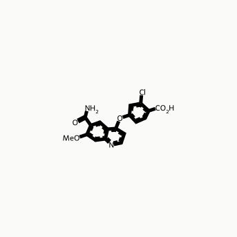 COc1cc2nccc(Oc3ccc(C(=O)O)c(Cl)c3)c2cc1C(N)=O